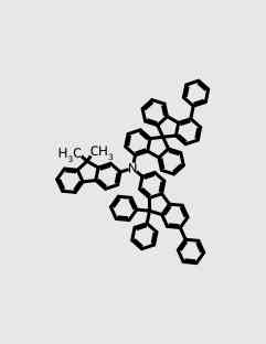 CC1(C)c2ccccc2-c2ccc(N(c3ccc4c(c3)C(c3ccccc3)(c3ccccc3)c3cc(-c5ccccc5)ccc3-4)c3cccc4c3-c3ccccc3C43c4ccccc4-c4c(-c5ccccc5)cccc43)cc21